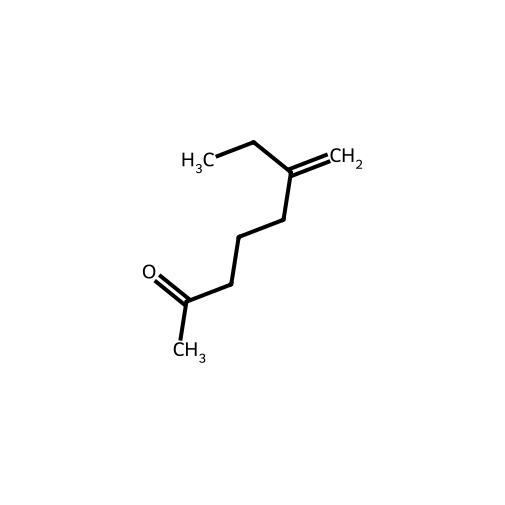 C=C(CC)CCCC(C)=O